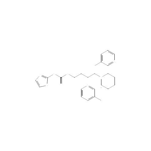 Cc1cccnc1[C@H]1CCC[C@@H](c2ncccc2C)N1CCCCNC(=O)Nc1ncc[nH]1